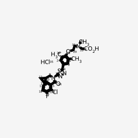 Cc1cc(-c2nnc(N(CC3CC3)C(=O)c3cccc(F)c3Cl)s2)cc(C)c1OCCN(C)CC(=O)O.Cl